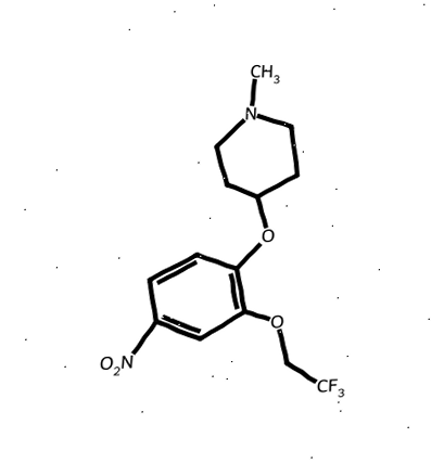 CN1CCC(Oc2ccc([N+](=O)[O-])cc2OCC(F)(F)F)CC1